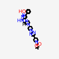 CC(C)(C)OC(=O)N1CCC(c2cnc(N3CCC(N4CCN5c6cc(-c7ccccc7O)nnc6NC[C@H]5C4)CC3)nc2)CC1